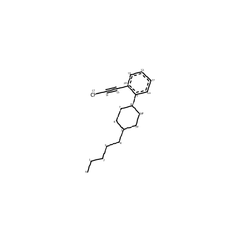 CCCCCC1CCC(c2ccccc2C#CCl)CC1